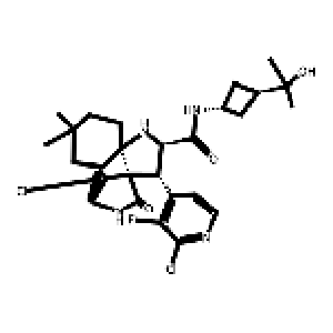 CC1(C)CCC2(CC1)N[C@@H](C(=O)N[C@H]1C[C@H](C(C)(C)O)C1)[C@H](c1ccnc(Cl)c1F)[C@]21C(=O)Nc2cc(Cl)ccc21